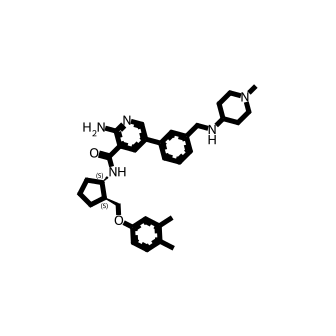 Cc1ccc(OC[C@H]2CCC[C@@H]2NC(=O)c2cc(-c3cccc(CNC4CCN(C)CC4)c3)cnc2N)cc1C